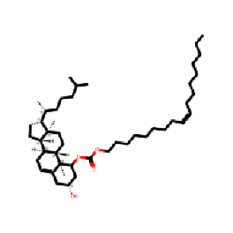 CCCCCCCC/C=C\CCCCCCCCOC(=O)OC1C[C@H](O)CC2=CC[C@H]3[C@@H]4CC[C@H]([C@H](C)CCCC(C)C)[C@@]4(C)CC[C@@H]3[C@]21C